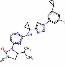 CC(C)C1CN(C)C(=O)N1c1ccnc(NC2(c3cn(-c4cc(F)cc(C5CC5)c4)cn3)CC2)n1